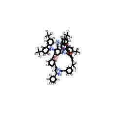 CC(C)(C)c1ccc2c(c1)c1cc(C(C)(C)C)ccc1n2-c1c(C#N)c(-n2c3ccc(C(C)(C)C)cc3c3cc(C(C)(C)C)ccc32)c2c3oc4c(cccc42)-c2cc(-c4ccccc4)nc(n2)-c2cccc(c2)C(C)(C)c2ccc4c(c2)c2cc(C(C)(C)C)ccc2n4-c13